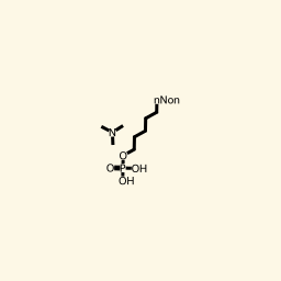 CCCCCCCCCCCCCCOP(=O)(O)O.CN(C)C